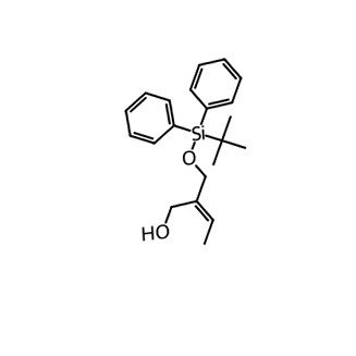 CC=C(CO)CO[Si](c1ccccc1)(c1ccccc1)C(C)(C)C